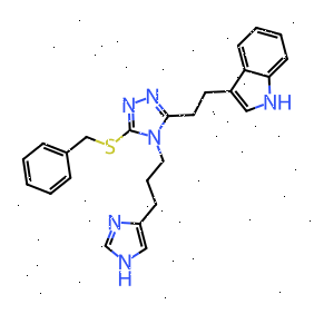 c1ccc(CSc2nnc(CCc3c[nH]c4ccccc34)n2CCCc2c[nH]cn2)cc1